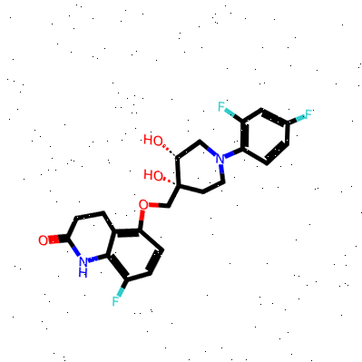 O=C1CCc2c(OC[C@]3(O)CCN(c4ccc(F)cc4F)C[C@H]3O)ccc(F)c2N1